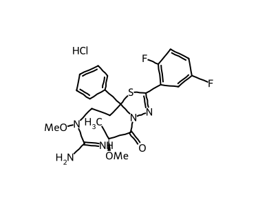 CO[C@@H](C)C(=O)N1N=C(c2cc(F)ccc2F)SC1(CCN(OC)C(=N)N)c1ccccc1.Cl